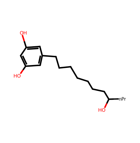 CCCC(O)CCCCCCCc1cc(O)cc(O)c1